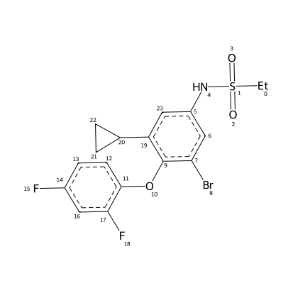 CCS(=O)(=O)Nc1cc(Br)c(Oc2ccc(F)cc2F)c(C2CC2)c1